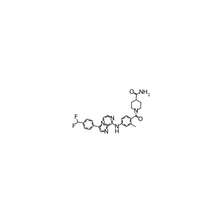 Cc1cc(Nc2nccn3c(-c4ccc(C(F)F)cc4)cnc23)ccc1C(=O)N1CCC(C(N)=O)CC1